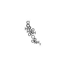 NC(=O)OC1CCC(C(=O)NNC(=O)c2cc3cc(Cl)ccc3[nH]2)CC1